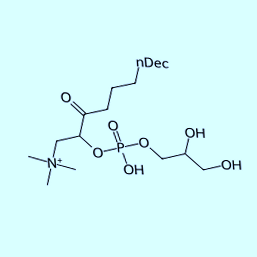 CCCCCCCCCCCCCC(=O)C(C[N+](C)(C)C)OP(=O)(O)OCC(O)CO